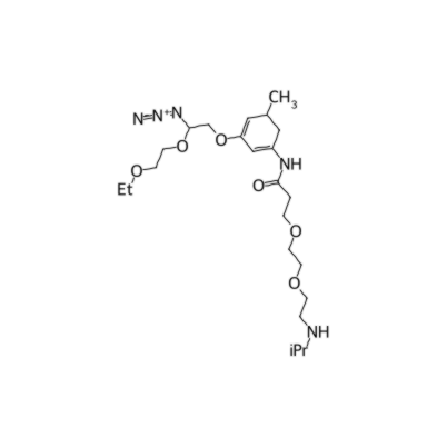 CCOCCOC(COC1=CC(C)CC(NC(=O)CCOCCOCCNC(C)C)=C1)N=[N+]=[N-]